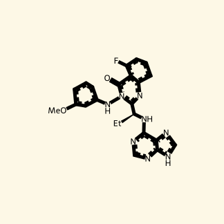 CC[C@H](Nc1ncnc2[nH]cnc12)c1nc2cccc(F)c2c(=O)n1Nc1cccc(OC)c1